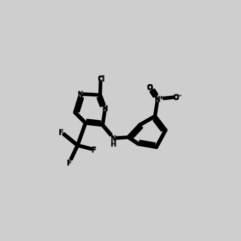 O=[N+]([O-])c1cccc(Nc2nc(Cl)ncc2C(F)(F)F)c1